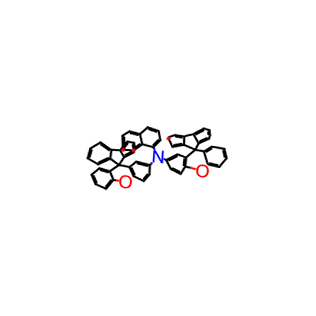 c1ccc2c(c1)Oc1ccc(N(c3ccc4c(c3)C3(c5ccccc5O4)c4ccccc4-c4ccccc43)c3cccc4ccccc34)cc1C21c2ccccc2-c2ccccc21